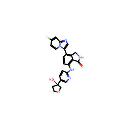 O=C1NCc2c(-c3cnc4cc(F)ccn34)ccc(Nc3ccc([C@@]4(O)CCOC4)cn3)c21